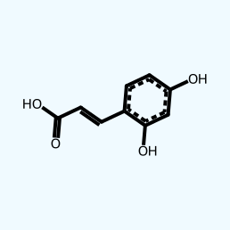 O=C(O)/C=C/c1ccc(O)cc1O